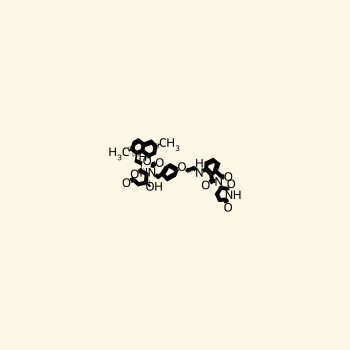 C[C@H]1C=C2C=C[C@H](C)[C@H](CC[C@@H]3C[C@@H](O)CC(=O)O3)[C@H]2[C@@H](OC(=O)NCc2ccc(OCCNc3cccc4c3C(=O)N(C3CCC(=O)NC3=O)C4=O)cc2)C1